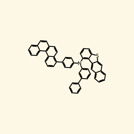 c1ccc(-c2cccc(N(c3ccc(-c4cccc5c4ccc4ccc6ccccc6c45)cc3)c3cccc4sc5cc6ccccc6cc5c34)c2)cc1